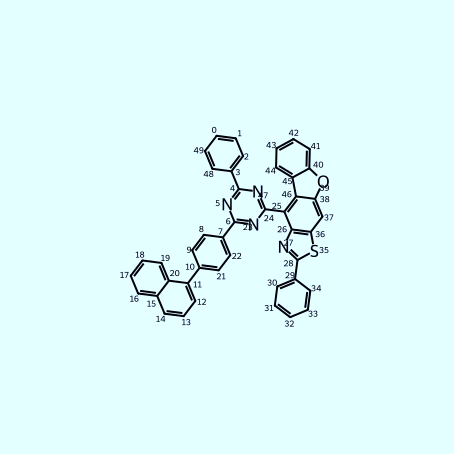 c1ccc(-c2nc(-c3ccc(-c4cccc5ccccc45)cc3)nc(-c3c4nc(-c5ccccc5)sc4cc4oc5ccccc5c34)n2)cc1